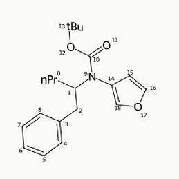 CCCC(Cc1ccccc1)N(C(=O)OC(C)(C)C)c1ccoc1